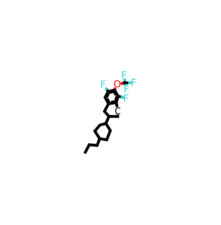 CCCC1CCC(C2CCc3c(cc(F)c(OC(F)(F)F)c3F)C2)CC1